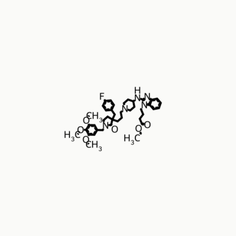 CCOC(=O)CCCn1c(NC2CCN(CCCC3(Cc4ccc(F)cc4)CCN(Cc4cc(OC)c(OC)c(OC)c4)C3=O)CC2)nc2ccccc21